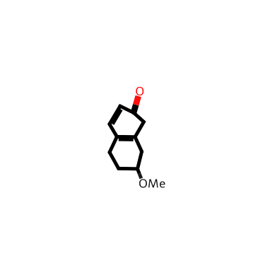 COC1CCC2=C(CC(=O)C=C2)C1